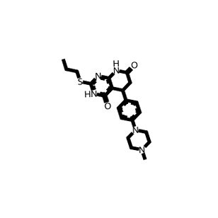 CCCSc1nc2c(c(=O)[nH]1)C(c1ccc(N3CCN(C)CC3)cc1)CC(=O)N2